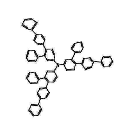 c1ccc(-c2ccc(-c3ccc(N(c4ccc(-c5ccc(-c6ccccc6)cc5)c(-c5ccccc5)c4)c4ccc(-c5ccc(-c6ccccc6)cc5)c(-c5ccccc5)c4)cc3-c3ccccc3)cc2)cc1